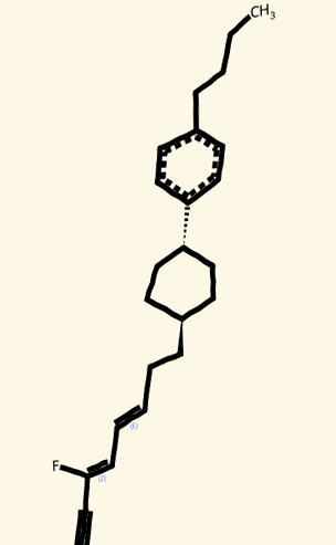 CCCCc1ccc([C@H]2CC[C@H](CC/C=C/C=C(\F)C#N)CC2)cc1